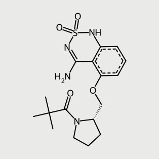 CC(C)(C)C(=O)N1CCC[C@H]1COc1cccc2c1C(N)=NS(=O)(=O)N2